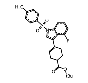 Cc1ccc(S(=O)(=O)n2cc(C3=CCC(C(=O)OC(C)(C)C)CC3)c3c(F)cccc32)cc1